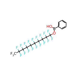 OB(OC(F)(F)C(F)(F)C(F)(F)C(F)(F)C(F)(F)C(F)(F)C(F)(F)C(F)(F)C(F)(F)C(F)(F)F)c1ccccc1